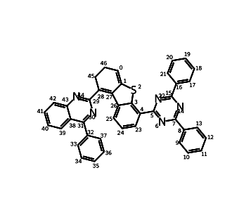 C1=c2sc3c(-c4nc(-c5ccccc5)nc(-c5ccccc5)n4)cccc3c2=C(c2nc(-c3ccccc3)c3ccccc3n2)CC1